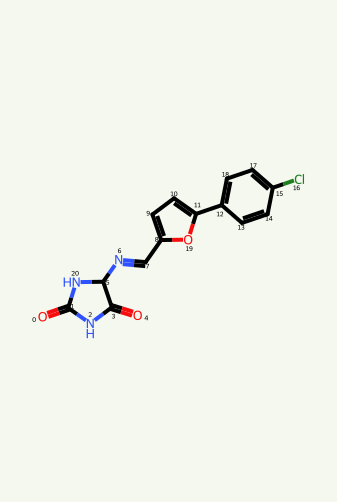 O=C1NC(=O)C(N=Cc2ccc(-c3ccc(Cl)cc3)o2)N1